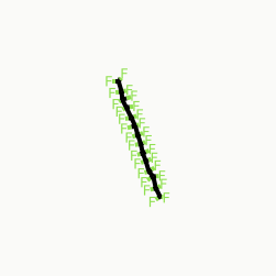 F[C](F)C(F)(F)C(F)(F)C(F)(F)C(F)(F)C(F)(F)C(F)(F)C(F)(F)C(F)(F)C(F)(F)C(F)(F)C(F)(F)C(F)(F)C(F)F